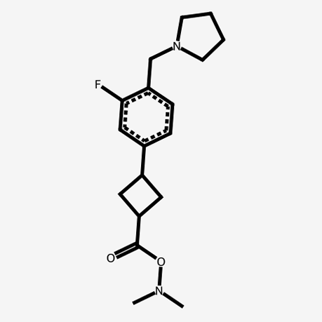 CN(C)OC(=O)C1CC(c2ccc(CN3CCCC3)c(F)c2)C1